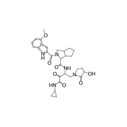 COc1cccc2[nH]c(C(=O)N3CC4CCCC4C3C(=O)NC(CN3CCC(O)C3=O)C(=O)C(=O)NC3CC3)cc12